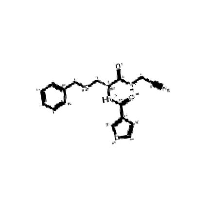 N#CCNC(=O)[C@H](CSCc1ccccc1)NC(=O)c1ccoc1